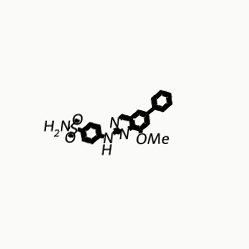 COc1cc(-c2ccccc2)cc2cnc(Nc3ccc(S(N)(=O)=O)cc3)nc12